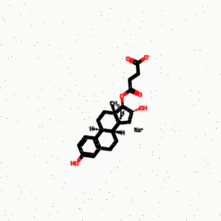 C[C@]12CC[C@@H]3c4ccc(O)cc4CC[C@H]3[C@@H]1C[C@@H](O)[C@@H]2OC(=O)CCC(=O)[O-].[Na+]